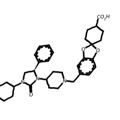 O=C(O)C1CCC2(CC1)Oc1ccc(CN3CCC(N4C(=O)N(C5CCCCC5)C[C@H]4c4ccccc4)CC3)cc1O2